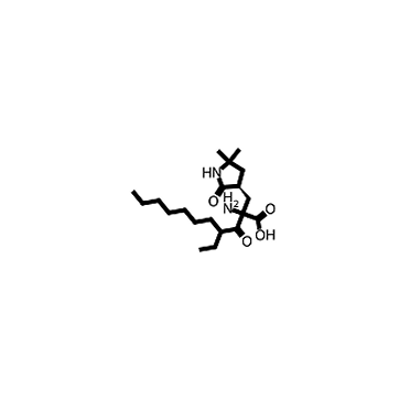 CCCCCCCC(CC)C(=O)C(N)(C[C@@H]1CC(C)(C)NC1=O)C(=O)O